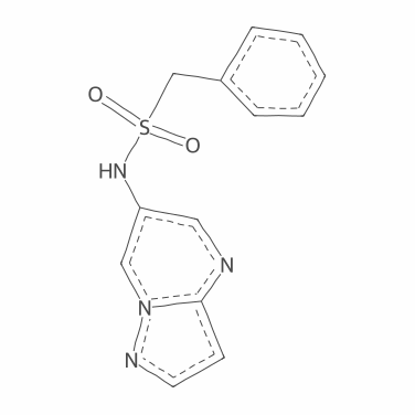 O=S(=O)(Cc1ccccc1)Nc1cnc2ccnn2c1